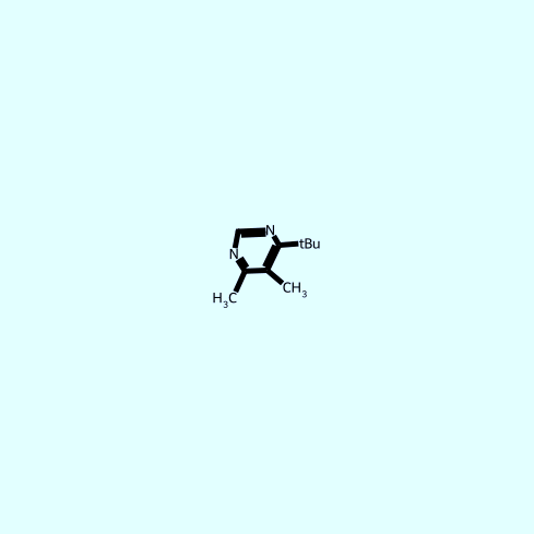 Cc1ncnc(C(C)(C)C)c1C